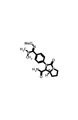 CON=C(c1ccc(N2C(=O)N3CC[CH][C@@H]3C2C(N)=O)cc1)N(C)C